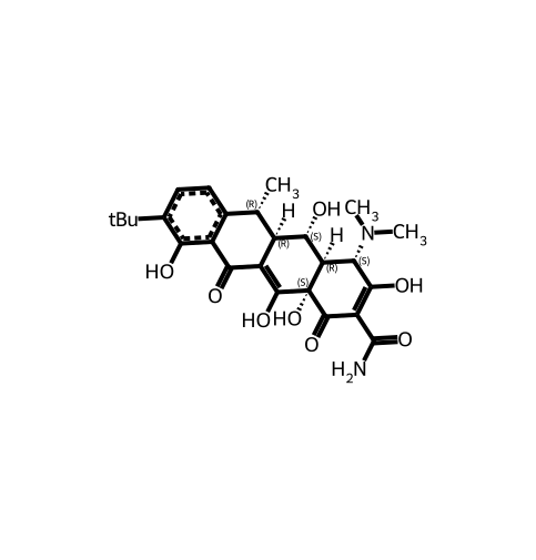 C[C@H]1c2ccc(C(C)(C)C)c(O)c2C(=O)C2=C(O)[C@]3(O)C(=O)C(C(N)=O)=C(O)[C@@H](N(C)C)[C@@H]3[C@@H](O)[C@@H]21